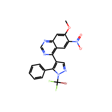 COc1cc2ncnc(-c3cnn(C(F)(F)Br)c3-c3ccccc3)c2cc1[N+](=O)[O-]